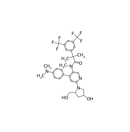 CN(C)c1ccc(-c2cc(N3CC(O)CC3CO)ncc2N(C)C(=O)C(C)(C)c2cc(C(F)(F)F)cc(C(F)(F)F)c2)cc1